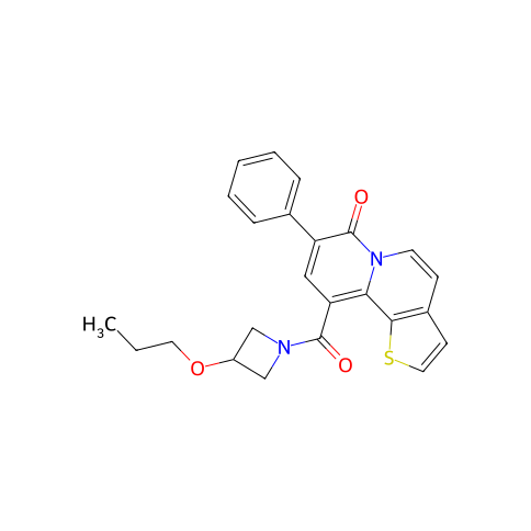 CCCOC1CN(C(=O)c2cc(-c3ccccc3)c(=O)n3ccc4ccsc4c23)C1